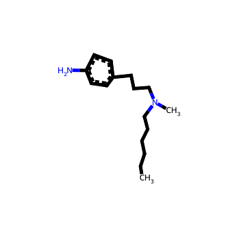 CCCCCCN(C)CCCc1ccc(N)cc1